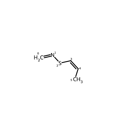 C=NS/C=C\C